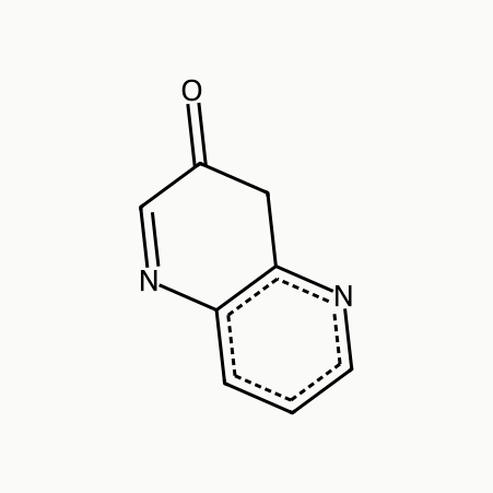 O=C1C=Nc2cccnc2C1